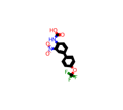 O=C(O)Nc1ccc(-c2ccc(OC(F)(F)F)cc2)cc1[N+](=O)[O-]